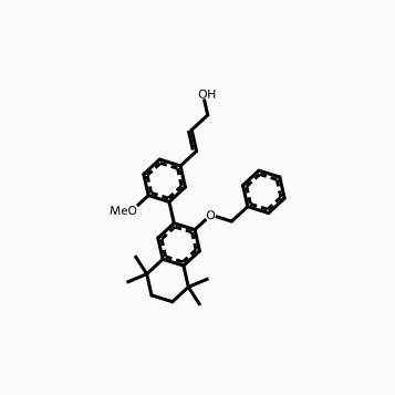 COc1ccc(/C=C/CO)cc1-c1cc2c(cc1OCc1ccccc1)C(C)(C)CCC2(C)C